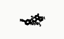 COc1cc(C)c2[nH]ccc2c1C(N)c1nc2cc(C#N)ccc2[nH]1